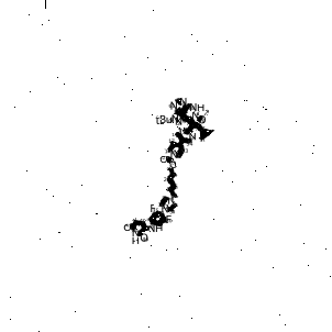 CC(C)(C)n1nc(-c2noc(C3CC3)c2-c2ncc(C3CCN(C(=O)OCCCCCCN4CCN(c5c(F)cc(NC6CCC(=O)NC6=O)cc5F)CC4)CC3)cn2)c2c(N)ncnc21